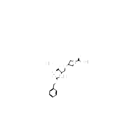 COC(=O)C(COC1CN(C(=O)O)C1)NC(=O)OCc1ccccc1